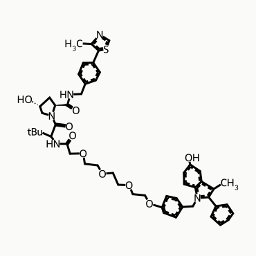 Cc1ncsc1-c1ccc(CNC(=O)[C@@H]2C[C@@H](O)CN2C(=O)C(NC(=O)COCCOCCOCCOc2ccc(Cn3c(-c4ccccc4)c(C)c4cc(O)ccc43)cc2)C(C)(C)C)cc1